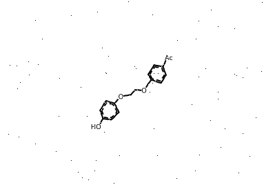 CC(=O)c1ccc(OCCOc2ccc(O)cc2)cc1